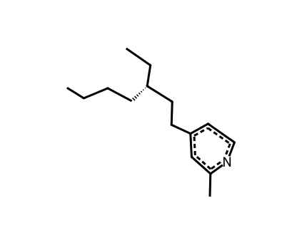 CCCC[C@H](CC)CCc1ccnc(C)c1